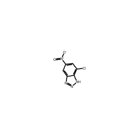 O=[N+]([O-])c1cc(Cl)c2[nH]nnc2c1